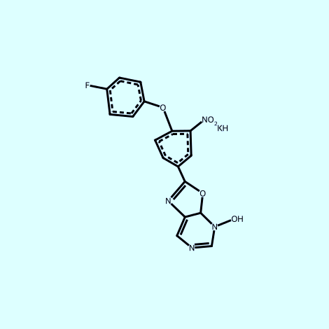 O=[N+]([O-])c1cc(C2=NC3=CN=CN(O)C3O2)ccc1Oc1ccc(F)cc1.[KH]